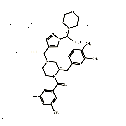 Cc1ccc(C[C@@H]2CN(Cc3cnn(C(C(=O)O)N4CCOCC4)c3)CCN2C(=O)c2cc(C(F)(F)F)cc(C(F)(F)F)c2)cc1C.Cl